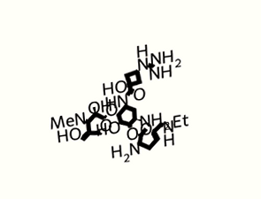 CCNCC1=CC[C@@H](N)[C@@H](OC2[C@@H](N)C[C@@H](NC(=O)C3(O)CC(NC(=N)N)C3)[C@H](O[C@H]3OC/C(=C/O)C(NC)[C@H]3O)[C@H]2O)O1